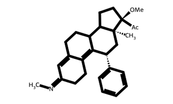 C/N=C1\C=C2CCC3C(=C2CC1)[C@@H](c1ccccc1)C[C@@]1(C)C3CC[C@]1(OC)C(C)=O